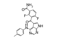 Cc1ccc(Nc2ncnc3[nH]cc(C(=O)c4c(F)ccc(C(N)=O)c4F)c23)cc1